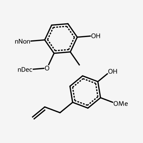 C=CCc1ccc(O)c(OC)c1.CCCCCCCCCCOc1c(CCCCCCCCC)ccc(O)c1C